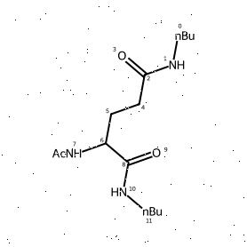 CCCCNC(=O)CCC(NC(C)=O)C(=O)NCCCC